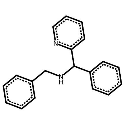 c1ccc(CNC(c2ccccc2)c2ccccn2)cc1